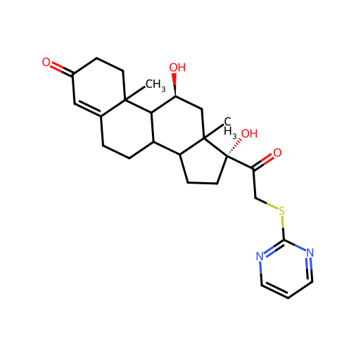 CC12CCC(=O)C=C1CCC1C2[C@@H](O)CC2(C)C1CC[C@]2(O)C(=O)CSc1ncccn1